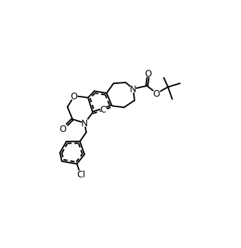 CC(C)(C)OC(=O)N1CCc2cc3c(cc2CC1)N(Cc1cccc(Cl)c1)C(=O)CO3